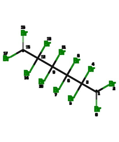 Br[C](Br)C(Br)(Br)C(Br)(Br)C(Br)(Br)C(Br)(Br)[C](Br)Br